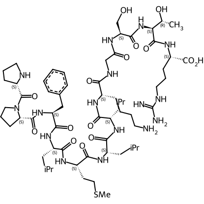 CSCC[C@H](NC(=O)[C@H](CC(C)C)NC(=O)[C@H](Cc1ccccc1)NC(=O)[C@@H]1CCCN1C(=O)[C@@H]1CCCN1)C(=O)N[C@@H](CC(C)C)C(=O)N[C@@H](CC(C)C)C(=O)N[C@@H](CCCCN)C(=O)NCC(=O)N[C@@H](CO)C(=O)N[C@H](C(=O)N[C@@H](CCCNC(=N)N)C(=O)O)[C@@H](C)O